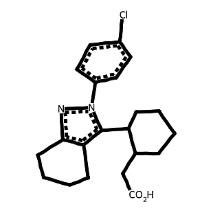 O=C(O)CC1CCCCC1c1c2c(nn1-c1ccc(Cl)cc1)CCCC2